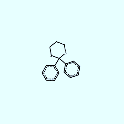 [c]1ccc(C2(c3ccccc3)SCCCS2)cc1